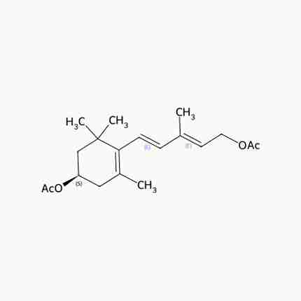 CC(=O)OC/C=C(C)/C=C/C1=C(C)C[C@@H](OC(C)=O)CC1(C)C